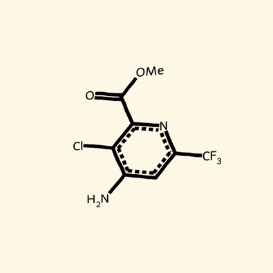 COC(=O)c1nc(C(F)(F)F)cc(N)c1Cl